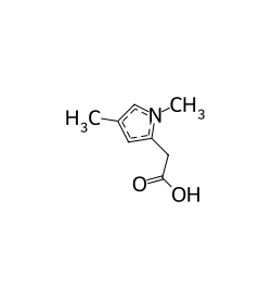 Cc1cc(CC(=O)O)n(C)c1